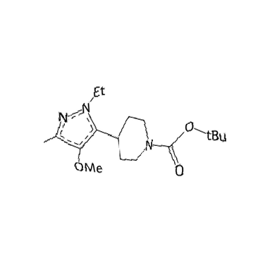 CCn1nc(C)c(OC)c1C1CCN(C(=O)OC(C)(C)C)CC1